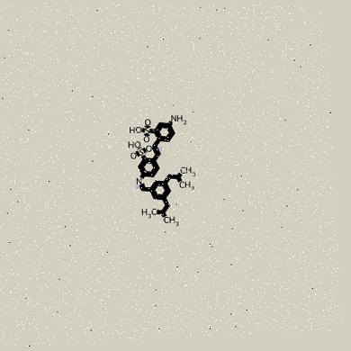 CC(C)Cc1cc(/C=N\c2ccc(/C=C/c3ccc(N)cc3S(=O)(=O)O)c(S(=O)(=O)O)c2)cc(CC(C)C)c1